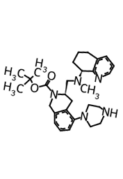 CN(C[C@H]1Cc2c(cccc2N2CCNCC2)CN1C(=O)OC(C)(C)C)[C@H]1CCCc2cccnc21